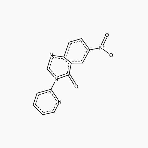 O=c1c2cc([N+](=O)[O-])ccc2ncn1-c1ccccn1